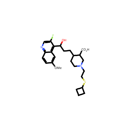 COc1ccc2ncc(F)c(C(O)CCC3CCN(CCSC4CCC4)CC3C(=O)O)c2c1